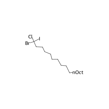 CCCCCCCCCCCCCCCCCC(Cl)(Br)I